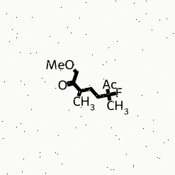 COCC(=O)C(C)CCC(C)(F)C(C)=O